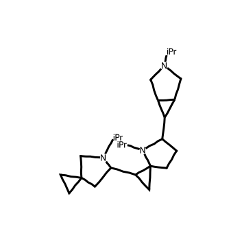 CC(C)N1CC2C(C1)C2C1CCC2(CC2C2CC3(CC3)CN2C(C)C)N1C(C)C